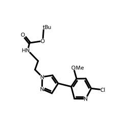 COc1cc(Cl)ncc1-c1cnn(CCNC(=O)OC(C)(C)C)c1